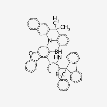 CC1(C)c2cc3ccccc3cc2N2c3cc4oc5ccccc5c4c(-c4ccc(-c5ccccc5)c5c4Nc4cccc6c4C5(C)c4ccccc4-6)c3Bc3cccc1c32